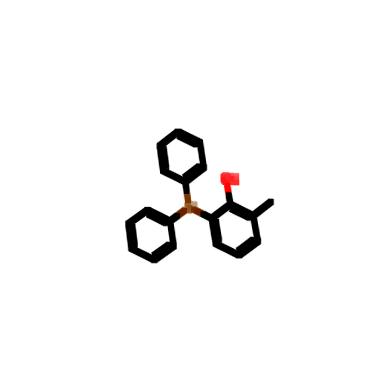 Cc1cccc([S+](c2ccccc2)c2ccccc2)c1O